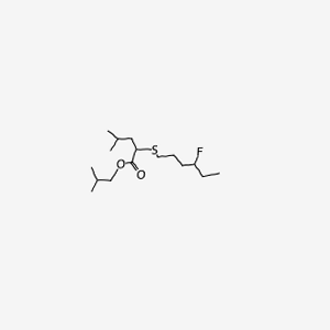 CCC(F)CCCSC(CC(C)C)C(=O)OCC(C)C